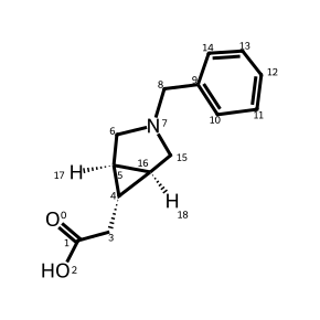 O=C(O)C[C@@H]1[C@H]2CN(Cc3ccccc3)C[C@@H]12